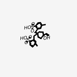 C=CC1(O)CCC(Cc2cc(C)ccc2S(=O)(=O)O)(Cc2cc(C)ccc2S(=O)(=O)O)CC1